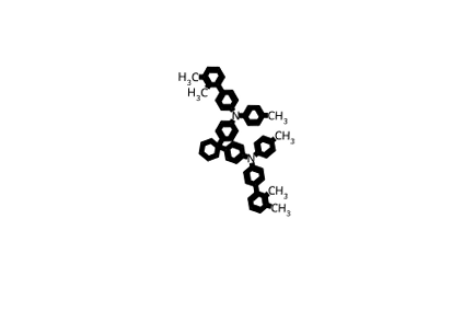 Cc1ccc(N(c2ccc(-c3cccc(C)c3C)cc2)c2ccc(C3(c4ccc(N(c5ccc(C)cc5)c5ccc(-c6cccc(C)c6C)cc5)cc4)CCCCC3)cc2)cc1